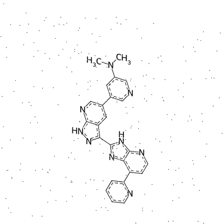 CN(C)c1cncc(-c2cnc3[nH]nc(-c4nc5c(-c6ccccn6)ccnc5[nH]4)c3c2)c1